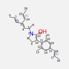 C/C=C/C(=CC(C)N1CCC(c2c(C)cc(/C=C/C)cc2C)=C1O)/C=C/C